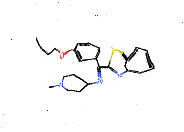 CCCOc1cccc(C(=NC2CCN(C)CC2)c2nc3ccccc3s2)c1